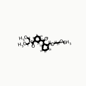 CCN(CC)C(=O)c1cccc(C(=O)c2ccccc2COCCOC)c1